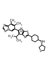 Cc1c(-c2[nH]c3sc(C4CCC(NC5CCSC5)CC4)nc3c2C(C)C)cn2ncnc2c1C